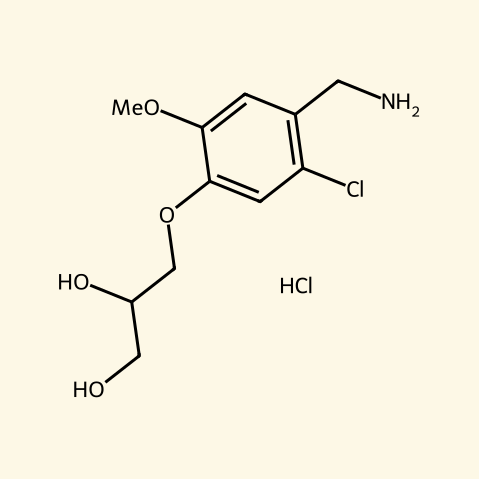 COc1cc(CN)c(Cl)cc1OCC(O)CO.Cl